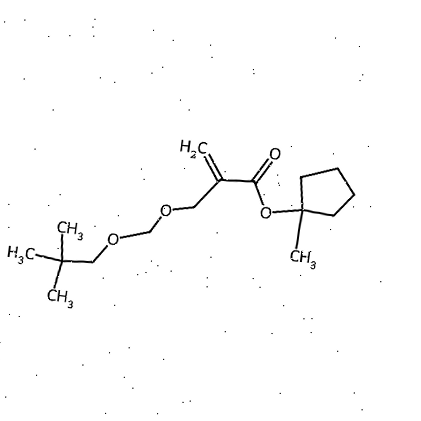 C=C(COCOCC(C)(C)C)C(=O)OC1(C)CCCC1